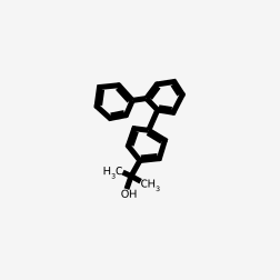 CC(C)(O)c1ccc(-c2ccccc2-c2ccccc2)cc1